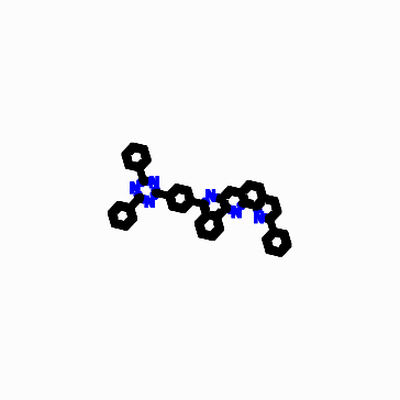 c1ccc(-c2ccc3ccc4cc5nc(-c6ccc(-c7nc(-c8ccccc8)nc(-c8ccccc8)n7)cc6)c6ccccc6c5nc4c3n2)cc1